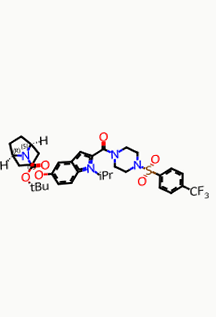 CC(C)n1c(C(=O)N2CCN(S(=O)(=O)c3ccc(C(F)(F)F)cc3)CC2)cc2cc(O[C@@H]3C[C@H]4CC[C@@H](C3)N4C(=O)OC(C)(C)C)ccc21